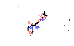 CC(C)(C)OC(=O)NOCCC(N)C(=O)N1CCOCC1